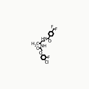 C=C(CCNC(=O)c1ccc(C(F)F)cc1)NC(=O)COc1ccc(Cl)c(F)c1